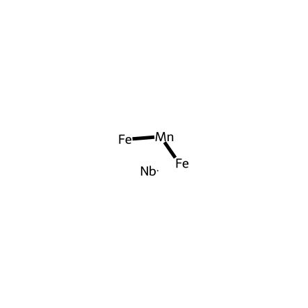 [Fe][Mn][Fe].[Nb]